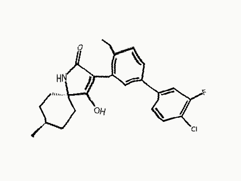 Cc1ccc(-c2ccc(Cl)c(F)c2)cc1C1=C(O)[C@]2(CC[C@H](C)CC2)NC1=O